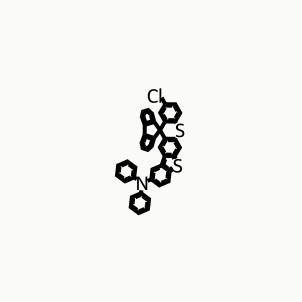 Clc1ccc2c(c1)C1(c3cc4c(cc3S2)sc2ccc(N(c3ccccc3)c3ccccc3)cc24)c2ccccc2-c2ccccc21